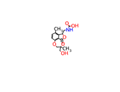 Cc1ccc2c3c1C(CNC(=O)O)OB3OC(C)(CO)CO2